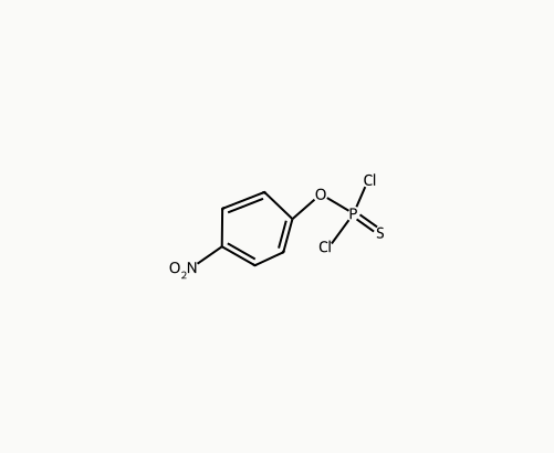 O=[N+]([O-])c1ccc(OP(=S)(Cl)Cl)cc1